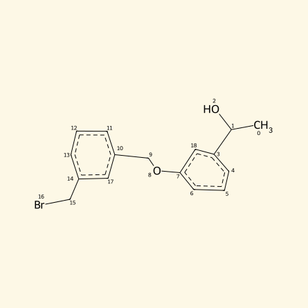 CC(O)c1cccc(OCc2cccc(CBr)c2)c1